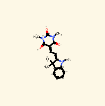 CCCCN1/C(=C/C=C2C(=O)N(C)C(=O)N(C)C2=O)C(C)(C)c2ccccc21